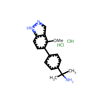 COc1c(-c2ccc(C(C)(C)N)cc2)ccc2[nH]ncc12.Cl.Cl